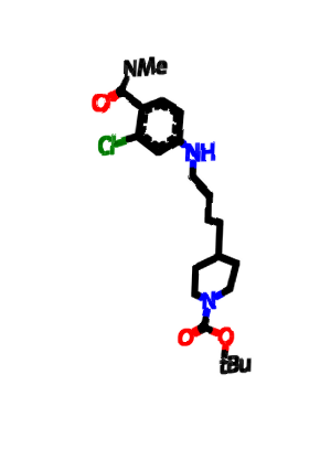 CNC(=O)c1ccc(NCCCCC2CCN(C(=O)OC(C)(C)C)CC2)cc1Cl